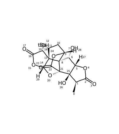 C[C@@H]1C(=O)O[C@H]2[C@@H](O)[C@@]34[C@H]5C[C@@H](C(C)(C)C)[C@]36[C@@H](OC(=O)[C@@H]6O)O[C@@]4(C(=O)O5)[C@@]12O